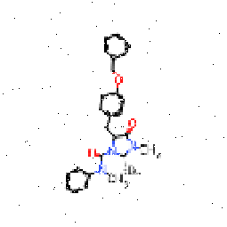 CN(C(=O)N1C(Cc2ccc(OCc3ccccc3)cc2)C(=O)N(C)C1C(C)(C)C)c1ccccc1